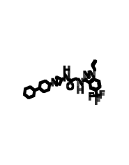 C=CCn1nc(NCC(=O)NC2CN(C3CCC(C4CCCCC4)CC3)C2)c2cc(C(F)(F)F)ccc21